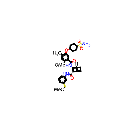 COSc1cccc(NC(=O)[C@H]2C3CC[C@H]3[C@H]2NC(=O)c2cc(O[C@H]3CC[C@@H](S(N)(=O)=O)CC3)c(C)cc2OC)c1